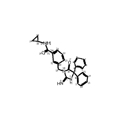 N=C1NC(c2ccccc2)(c2ccccc2)C(=O)N1Cc1cccc(C(=O)NC2CC2)c1